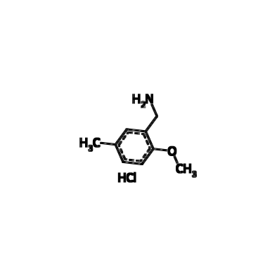 COc1ccc(C)cc1CN.Cl